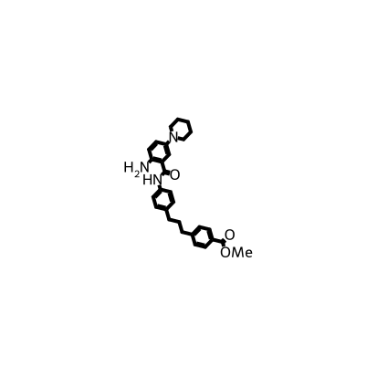 COC(=O)c1ccc(CCCc2ccc(NC(=O)c3cc(N4CCCCC4)ccc3N)cc2)cc1